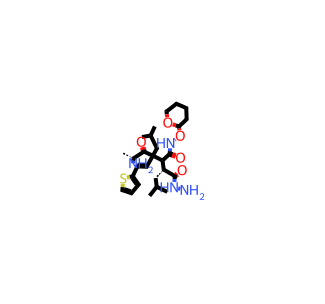 CC(C)C[C@@H](C(=O)NN)C(C(=O)NOC1CCCCO1)C(/C=C/c1cccs1)(CC(C)C)C(=O)[C@@H](C)N